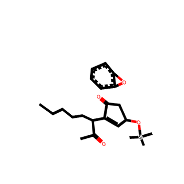 CCCCCC(C(C)=O)C1=CC(O[Si](C)(C)C)CC1=O.c1ccc2c(c1)O2